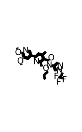 CCCON(C(=O)c1c(C)cc(-c2cnc(OC)c(OC)c2)nc1C)c1cnn(CC(F)(F)F)c1